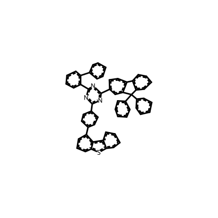 c1ccc(-c2ccccc2-c2nc(-c3ccc(-c4cccc5sc6ccccc6c45)cc3)nc(-c3ccc4c(c3)C(c3ccccc3)(c3ccccc3)c3ccccc3-4)n2)cc1